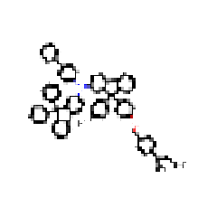 CC(C)CC(c1ccc(COc2ccc(C3(c4ccc(C(C)C)cc4)c4ccccc4-c4ccc(N(c5ccc(-c6ccccc6)cc5)c5ccc6c(c5)C(c5ccccc5)(c5ccccc5)c5ccccc5-6)cc43)cc2)cc1)C(C)C